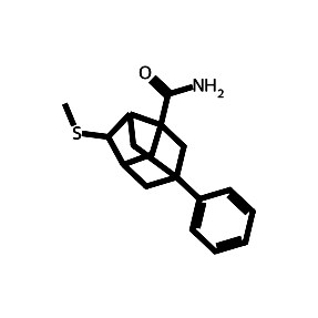 CSC1C2CC3(c4ccccc4)CC1C(C(N)=O)(C2)C3